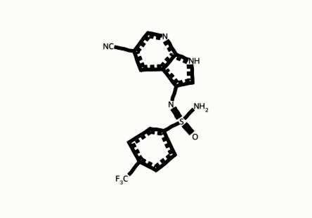 N#Cc1cnc2[nH]cc(N=S(N)(=O)c3ccc(C(F)(F)F)cc3)c2c1